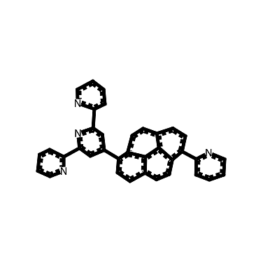 c1ccc(-c2cc(-c3ccc4ccc5c(-c6ccccn6)ccc6ccc3c4c65)cc(-c3ccccn3)n2)nc1